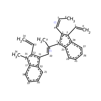 C=Cc1c(/C=C\C)n(/C(C)=C/c2c(C=C)n(C)c3ccccc23)c2ccccc12